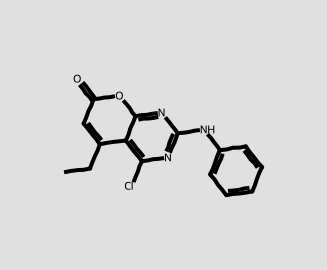 CCc1cc(=O)oc2nc(Nc3ccccc3)nc(Cl)c12